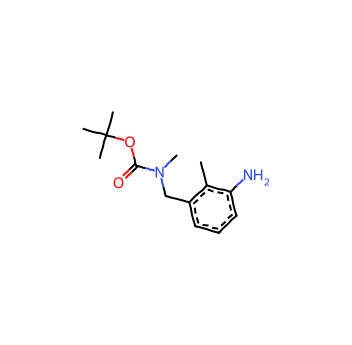 Cc1c(N)cccc1CN(C)C(=O)OC(C)(C)C